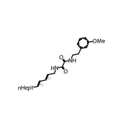 CCCCCCC/C=C/C=C/CNC(=O)C(=O)NCCc1cccc(OC)c1